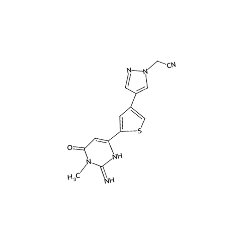 Cn1c(=O)cc(-c2cc(-c3cnn(CC#N)c3)cs2)[nH]c1=N